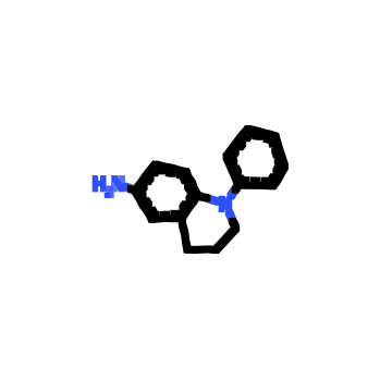 Nc1ccc2c(c1)CCCN2c1ccccc1